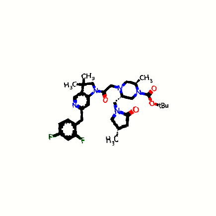 C[C@H]1CC(=O)N(C[C@H]2CN(C(=O)OC(C)(C)C)[C@H](C)CN2CC(=O)N2CC(C)(C)c3cnc(Cc4ccc(F)cc4F)cc32)C1